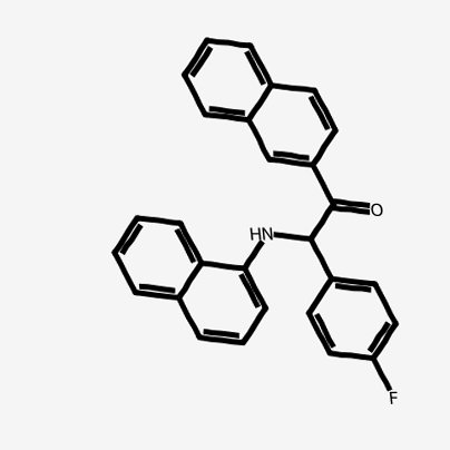 O=C(c1ccc2ccccc2c1)C(Nc1cccc2ccccc12)c1ccc(F)cc1